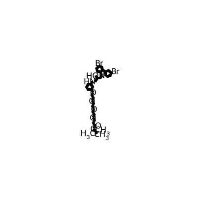 CC(C)(C)OC(=O)CCOCCOCCOCCOc1cccc(NCC(O)Cn2c3ccc(Br)cc3c3cc(Br)ccc32)c1